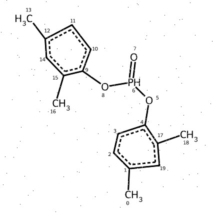 Cc1ccc(O[PH](=O)Oc2ccc(C)cc2C)c(C)c1